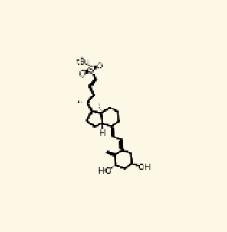 C=C1/C(=C\C=C2/CCC[C@]3(C)C([C@H](C)C/C=C/S(=O)(=O)C(C)(C)C)CC[C@@H]23)C[C@@H](O)C[C@@H]1O